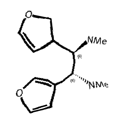 CN[C@H](c1ccoc1)[C@H](NC)C1C=COC1